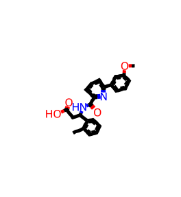 COc1cccc(-c2cccc(C(=O)NC(CC(=O)O)c3ccccc3C)n2)c1